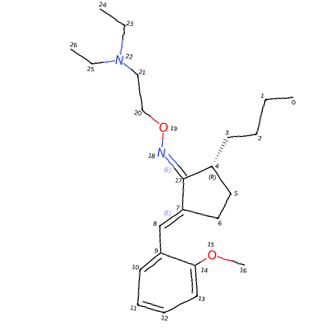 CCCC[C@@H]1CCC(=C\c2ccccc2OC)/C1=N/OCCN(CC)CC